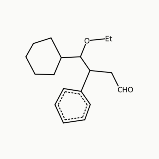 CCOC(C1CCCCC1)C(CC=O)c1ccccc1